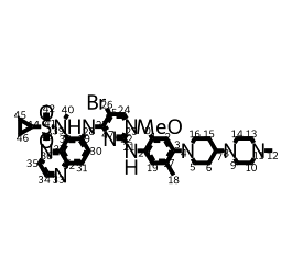 COc1cc(N2CCC(N3CCN(C)CC3)CC2)c(C)cc1Nc1ncc(Br)c(Nc2ccc3nccnc3c2N(C)S(=O)(=O)C2CC2)n1